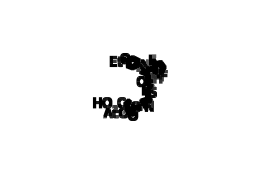 CCO[C@H]1CC[C@H](n2cc(NC(=O)c3csc(-c4cnn(COC(=O)[C@H](OC(C)=O)[C@H](C)C(=O)O)c4)n3)c(-c3nc(F)ccc3F)n2)CC1